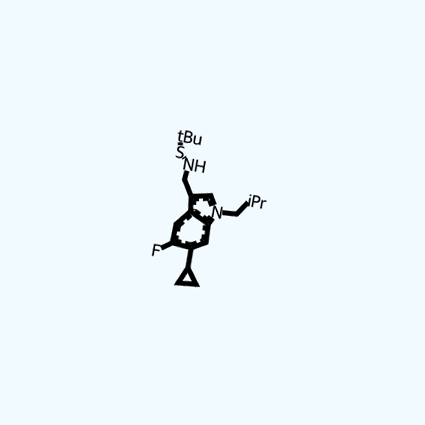 CC(C)Cn1cc(CNSC(C)(C)C)c2cc(F)c(C3CC3)cc21